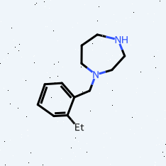 CCc1ccccc1CN1CCCNCC1